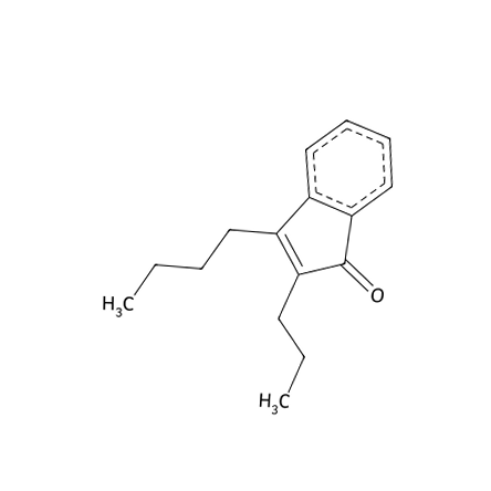 CCCCC1=C(CCC)C(=O)c2ccccc21